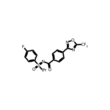 CC(C)S(=O)(=NC(=O)c1ccc(-c2noc(C(F)(F)F)n2)cc1)c1ccc(F)cc1